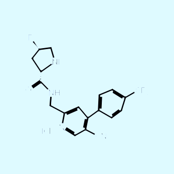 Cl.N#Cc1cnc(CNC(=O)[C@@H]2C[C@@H](F)CN2)cc1-c1ccc(C(F)(F)F)cc1